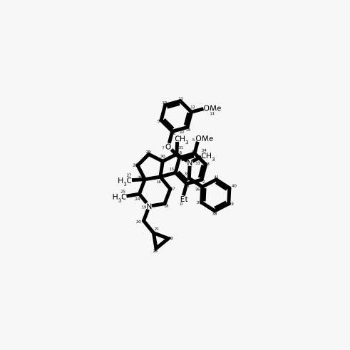 CCc1ccc(OC)c(Oc2cccc(OC)c2)c1C12CCN(CC3CC3)C(C)C1(C)CCC2C(C)N(C)Cc1ccccc1